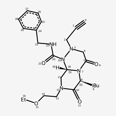 C#CCN1CC(=O)N2[C@@H](C(C)CC)C(=O)N(CCOCC)C[C@@H]2N1C(=O)NCc1ccccc1